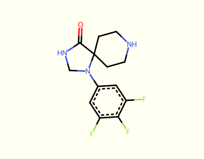 O=C1NCN(c2cc(F)c(F)c(F)c2)C12CCNCC2